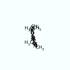 Cc1cn2cc(-c3nc4sc(C5CCN(C(=O)OC(C)(C)C)CC5)cc4s3)c(C)cc2n1